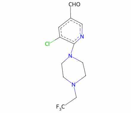 O=Cc1cnc(N2CCN(CC(F)(F)F)CC2)c(Cl)c1